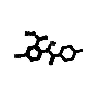 COC(=O)c1cc(O)ccc1N(C(=O)C1CCC(C)CC1)C(C)C